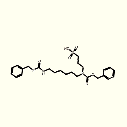 O=C(NCCCCCCN(CCCS(=O)(=O)O)C(=O)OCc1ccccc1)OCc1ccccc1